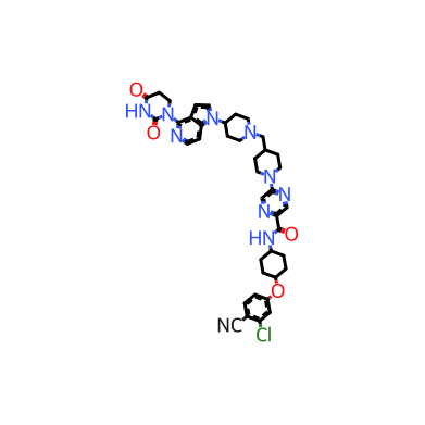 N#Cc1ccc(OC2CCC(NC(=O)c3cnc(N4CCC(CN5CCC(n6ccc7c(N8CCC(=O)NC8=O)nccc76)CC5)CC4)cn3)CC2)cc1Cl